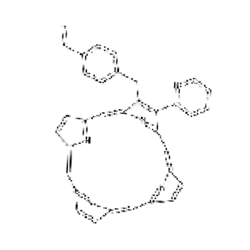 C=Cc1ccc(CC2=C(c3ccccn3)C3=NC2=CC2=NC(=CC4=NC(=CC5=NC(=C3)C=C5)C=C4)C=C2)cc1